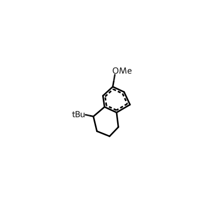 COc1ccc2c(c1)C(C(C)(C)C)CCC2